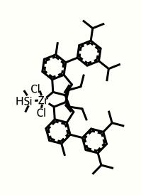 CCCC1=Cc2c(ccc(C)c2-c2cc(C(C)C)cc(C(C)C)c2)[CH]1[Zr]([Cl])([Cl])([CH]1C(CCC)=Cc2c1ccc(C)c2-c1cc(C(C)C)cc(C(C)C)c1)[SiH](C)C